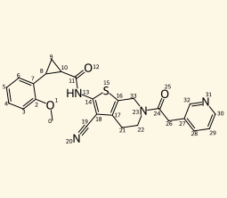 COc1ccccc1C1CC1C(=O)Nc1sc2c(c1C#N)CCN(C(=O)Cc1cccnc1)C2